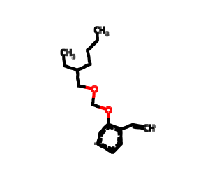 [CH]=Cc1cc[c]cc1OCOCC(CC)CCCC